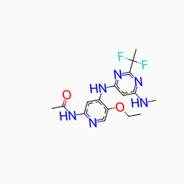 CCOc1cnc(NC(C)=O)cc1Nc1cc(NC)nc(C(C)(F)F)n1